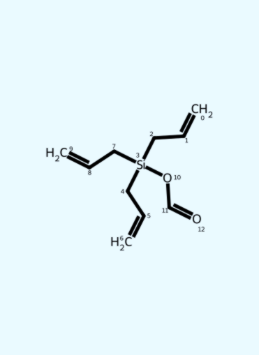 C=CC[Si](CC=C)(CC=C)OC=O